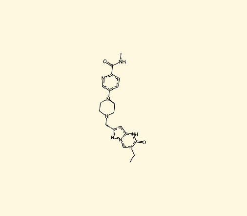 CCc1cn2nc(CN3CCN(c4ccc(C(=O)NC)nc4)CC3)cc2[nH]c1=O